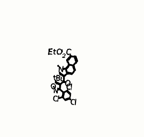 CCOC(=O)c1ccc2ccc3c(C(=O)c4c(-c5c(Cl)cc(Cl)cc5Cl)noc4C(C)(C)C)cn(C)c3c2c1